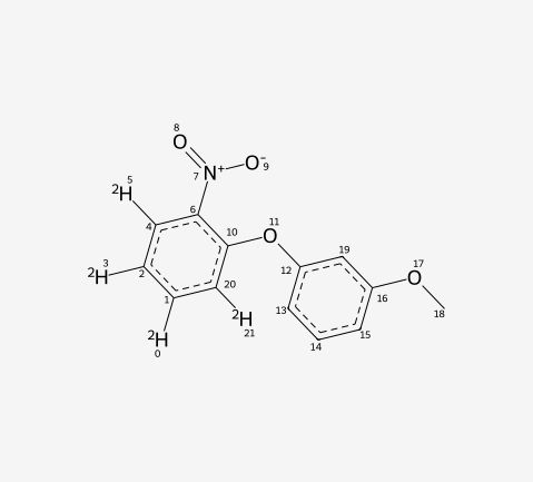 [2H]c1c([2H])c([2H])c([N+](=O)[O-])c(Oc2cccc(OC)c2)c1[2H]